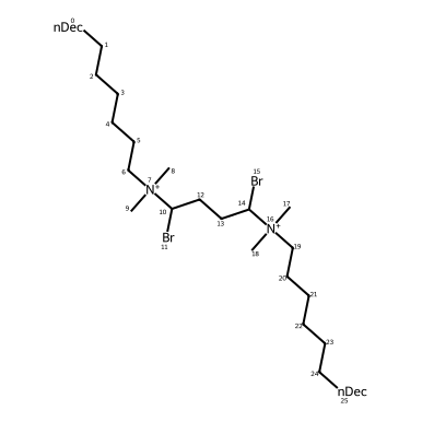 CCCCCCCCCCCCCCCC[N+](C)(C)C(Br)CCC(Br)[N+](C)(C)CCCCCCCCCCCCCCCC